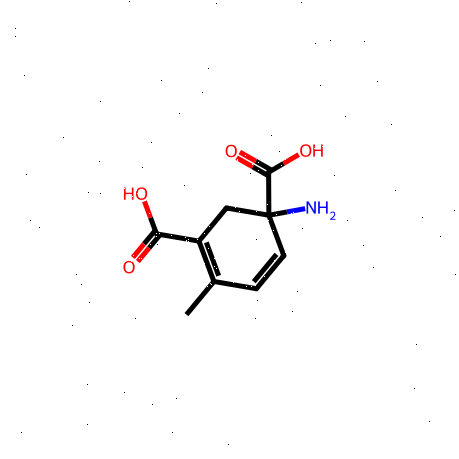 CC1=C(C(=O)O)CC(N)(C(=O)O)C=C1